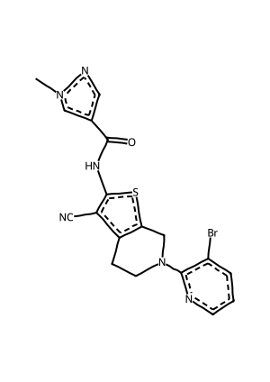 Cn1cc(C(=O)Nc2sc3c(c2C#N)CCN(c2ncccc2Br)C3)cn1